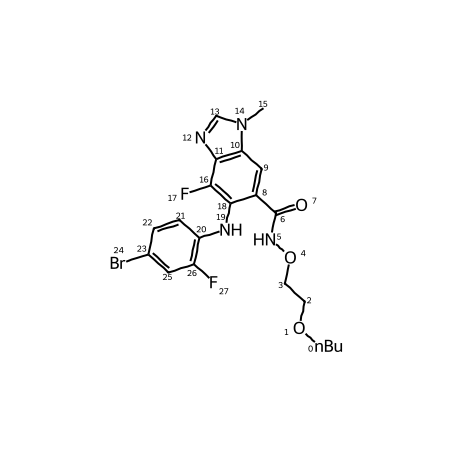 CCCCOCCONC(=O)c1cc2c(ncn2C)c(F)c1Nc1ccc(Br)cc1F